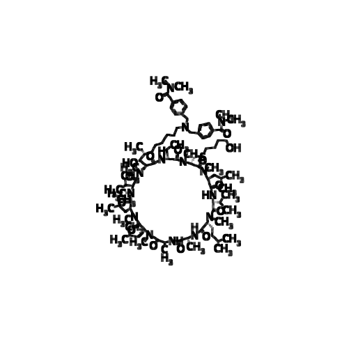 CC[C@@H]1NC(=O)[C@H]([C@H](O)[C@H](C)CCCCCCN(Cc2ccc(C(=O)N(C)C)cc2)Cc2ccc(C(=O)N(C)C)cc2)N(C)C(=O)[C@H](C(C)C)N(C)C(=O)[C@H](CC(C)C)N(C)C(=O)[C@H](CC(C)C)N(C)C(=O)[C@H](C)NC(=O)[C@@H](C)NC(=O)[C@@H](CCC(C)C)N(C)C(=O)[C@@H](C(C)C)NC(=O)[C@H](CC(C)C)N(C)C(=O)[C@@H](CSCCCCO)N(C)C1=O